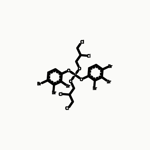 ClCC(Cl)CO[Si](OCC(Cl)CCl)(Oc1ccc(Br)c(Br)c1Br)Oc1ccc(Br)c(Br)c1Br